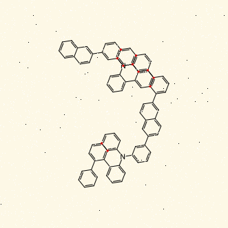 c1ccc(-c2ccccc2-c2ccccc2N(c2ccccc2)c2cccc(-c3ccc4cc(-c5cccc(-c6cccc(N(c7cccc(-c8ccc9ccccc9c8)c7)c7ccccc7-c7ccccc7-c7ccccc7)c6)c5)ccc4c3)c2)cc1